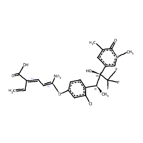 C=C/C(=C\C=C(/N)Oc1ccc([C@H](C)[C@](O)(c2cc(C)c(=O)n(C)c2)C(F)(F)F)c(Cl)c1)C(=O)O